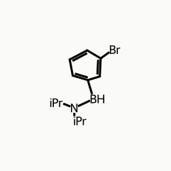 CC(C)N(Bc1cccc(Br)c1)C(C)C